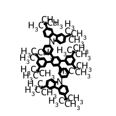 CC(C)(C)c1cc(-c2cc(-c3cccc(-n4c5ccc(C(C)(C)C)cc5c5cc(C(C)(C)C)ccc54)c3)c(-c3cc(C(C)(C)C)cc(C(C)(C)C)c3)cc2-c2cccc(-n3c4ccc(C(C)(C)C)cc4c4cc(C(C)(C)C)ccc43)c2)cc(C(C)(C)C)c1